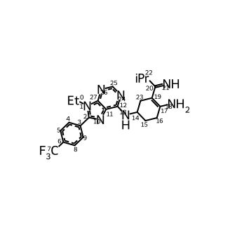 CCn1c(-c2ccc(C(F)(F)F)cc2)nc2c(NC3CCC(N)=C(C(=N)C(C)C)C3)ncnc21